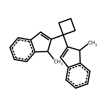 CC1C(C2(C3=Cc4ccccc4C3C)CCC2)=Cc2ccccc21